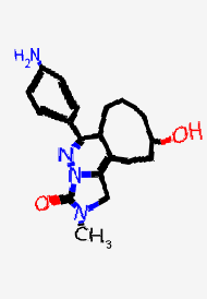 CN1CC2=C3CCC(O)CCCC3C(c3ccc(N)cc3)=NN2C1=O